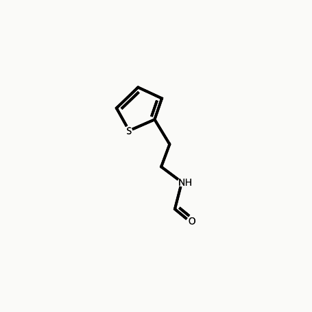 O=CNCCc1cccs1